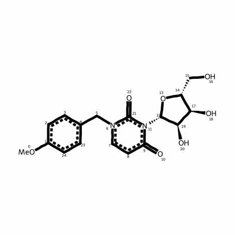 COc1ccc(Cn2ccc(=O)n([C@@H]3O[C@H](CO)[C@@H](O)[C@H]3O)c2=O)cc1